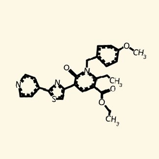 CCOC(=O)c1cc(-c2csc(-c3ccncc3)n2)c(=O)n(Cc2ccc(OC)cc2)c1CC